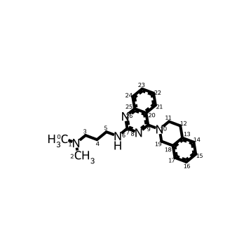 CN(C)CCCNc1nc(N2CCc3ccccc3C2)c2ccccc2n1